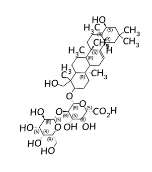 CC1(C)C[C@@H]2C3=CCC4[C@@]5(C)CCC(O[C@@H]6O[C@H](C(=O)O)[C@H](O)[C@H](O)[C@H]6O[C@@H]6O[C@H](CO)[C@H](O)[C@H](O)[C@H]6O)C(C)(CO)C5CC[C@@]4(C)[C@]3(C)CC[C@@]2(C)[C@@H](O)C1